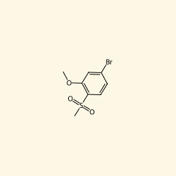 COc1cc(Br)ccc1S(C)(=O)=O